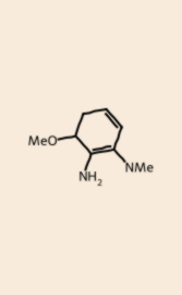 CNC1=C(N)C(OC)CC=C1